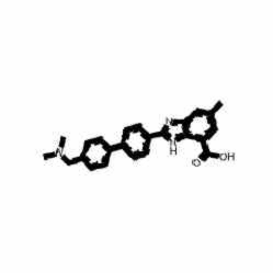 Cc1cc(C(=O)O)c2[nH]c(-c3ccc(-c4ccc(CN(C)C)cc4)cc3)nc2c1